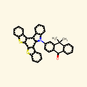 CC1(C)c2ccccc2C(=O)c2ccc(-n3c4ccccc4c4c5c6ccccc6sc5c5sc6ccccc6c5c43)cc21